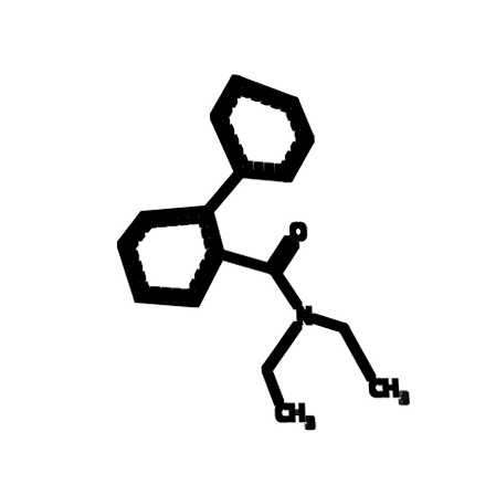 CCN(CC)C(=O)c1ccccc1-c1ccccc1